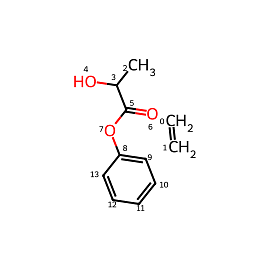 C=C.CC(O)C(=O)Oc1ccccc1